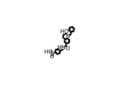 O=C(NCc1ccc(S(=O)O)cc1)c1ccc2c(c1)CCCN2Cc1ccccc1O